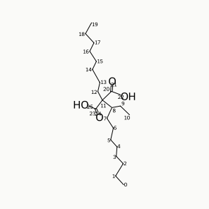 CCCCCCCCC(CC)C(CCCCCCCC)(C(=O)O)C(=O)O